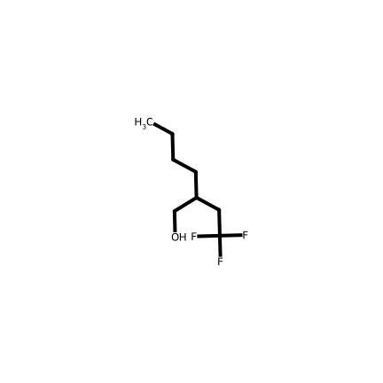 CCCCC(CO)CC(F)(F)F